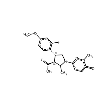 COc1ccc([C@@H]2CN(c3ccc(=O)n(C)n3)C(C)[C@H]2C(=O)O)c(F)c1